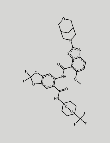 COc1ccc2nc(N3CC4COCC(C4)C3)sc2c1C(=O)Nc1cc2c(cc1C(=O)NC13CCC(C(F)(F)F)(CC1)OC3)OC(F)(F)O2